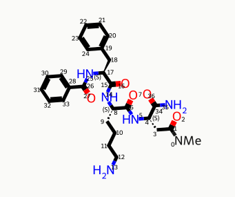 CNC(=O)C[C@H](NC(=O)[C@H](CCCCN)NC(=O)[C@H](Cc1ccccc1)NC(=O)c1ccccc1)C(N)=O